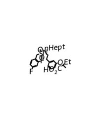 CCCCCCCN(CCc1cccc(OC(C)(CC)C(=O)O)c1)S(=O)(=O)Cc1ccc(F)cc1F